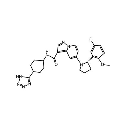 COc1ccc(F)cc1[C@H]1CCCN1c1ccn2ncc(C(=O)NC3CCC(c4nnn[nH]4)CC3)c2c1